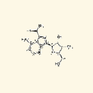 C[C@H]1[C@@H](O)[C@H](n2cc(C(N)=S)c3c(N)ncnc32)O[C@@H]1CO